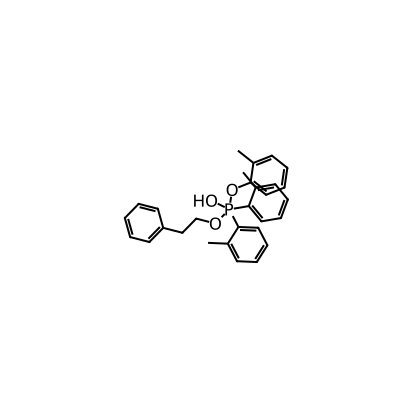 Cc1ccccc1OP(O)(OCCc1ccccc1)(c1ccccc1C)c1ccccc1C